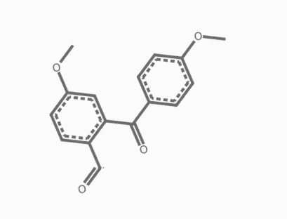 COc1ccc(C(=O)c2cc(OC)ccc2[C]=O)cc1